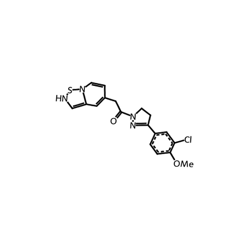 COc1ccc(C2=NN(C(=O)CC3=CC4=CNSN4C=C3)CC2)cc1Cl